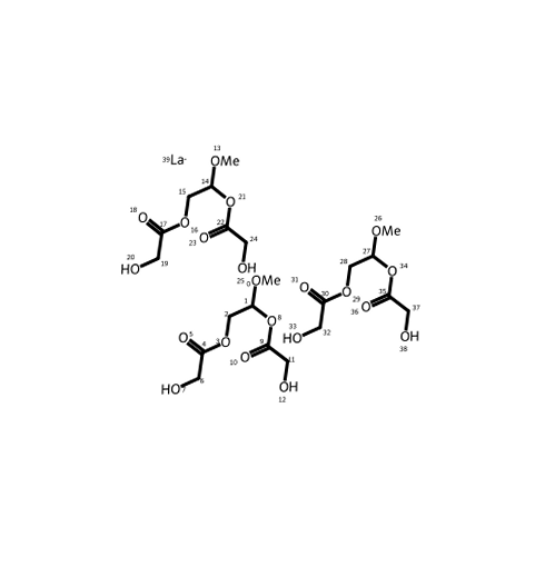 COC(COC(=O)CO)OC(=O)CO.COC(COC(=O)CO)OC(=O)CO.COC(COC(=O)CO)OC(=O)CO.[La]